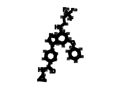 O=C(NC1CC1)c1ccc(-n2cnc3c(NCCC(F)(F)F)cc(Oc4ccccc4)cc32)cc1